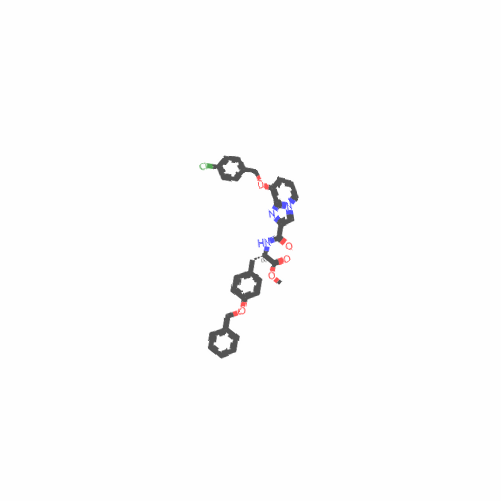 COC(=O)[C@H](Cc1ccc(OCc2ccccc2)cc1)NC(=O)c1cn2cccc(OCc3ccc(Cl)cc3)c2n1